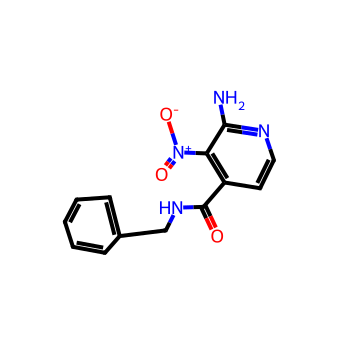 Nc1nccc(C(=O)NCc2ccccc2)c1[N+](=O)[O-]